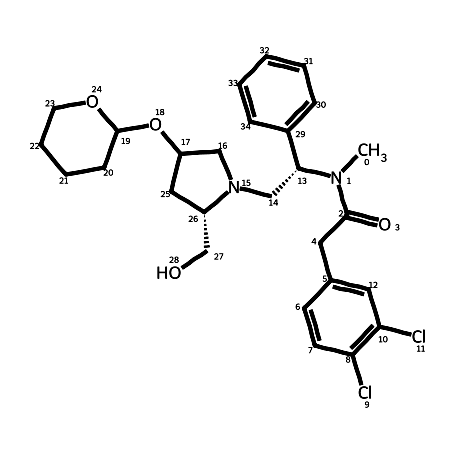 CN(C(=O)Cc1ccc(Cl)c(Cl)c1)[C@H](CN1CC(OC2CCCCO2)C[C@H]1CO)c1ccccc1